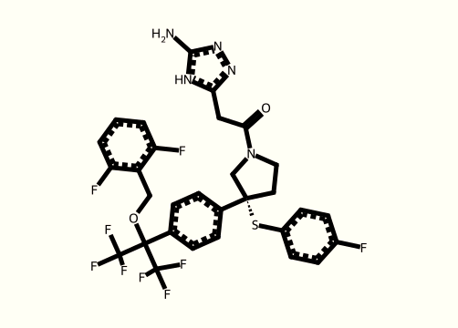 Nc1nnc(CC(=O)N2CC[C@@](Sc3ccc(F)cc3)(c3ccc(C(OCc4c(F)cccc4F)(C(F)(F)F)C(F)(F)F)cc3)C2)[nH]1